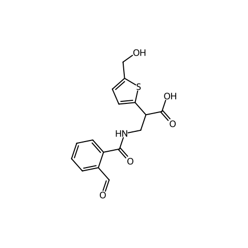 O=Cc1ccccc1C(=O)NCC(C(=O)O)c1ccc(CO)s1